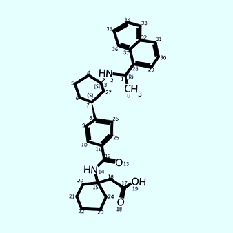 C[C@@H](N[C@H]1CCC[C@H](c2ccc(C(=O)NC3(CC(=O)O)CCCCC3)cc2)C1)c1cccc2ccccc12